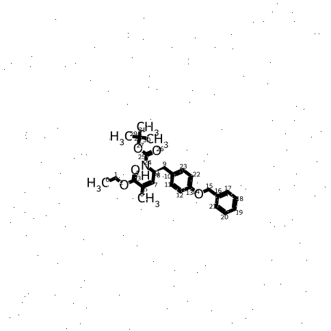 CCOC(=O)C(C)=C[C@H](Cc1ccc(OCc2ccccc2)cc1)NC(=O)OC(C)(C)C